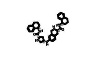 O=C(N[C@@H]1CCCc2ccccc21)[C@@H]1Cc2ccc(N[C@@H]3CN[C@H](C(=O)N[C@@H]4CCCc5ccccc54)C3)cc2CN1